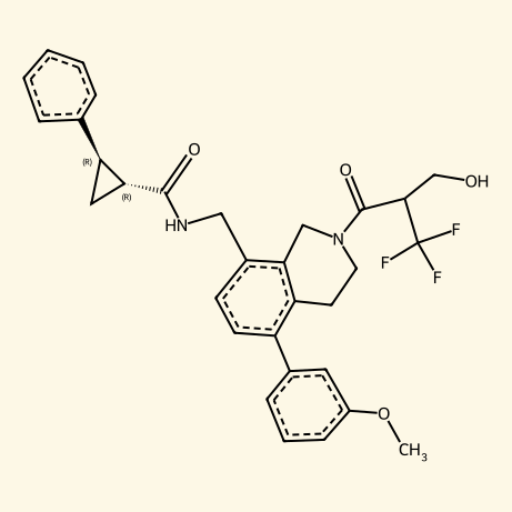 COc1cccc(-c2ccc(CNC(=O)[C@@H]3C[C@H]3c3ccccc3)c3c2CCN(C(=O)C(CO)C(F)(F)F)C3)c1